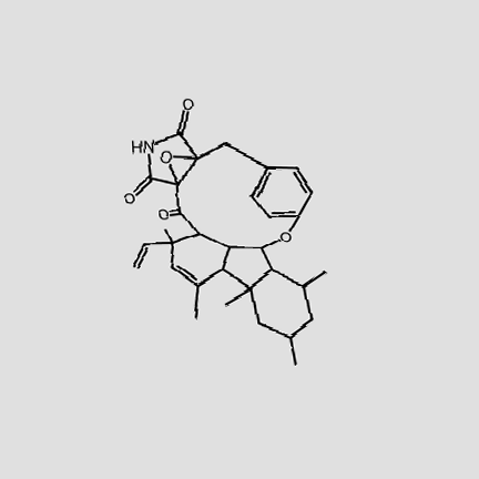 C=CC1(C)C=C(C)C2C3C(Oc4ccc(cc4)CC45OC4(C(=O)NC5=O)C(=O)C31)C1C(C)CC(C)CC21C